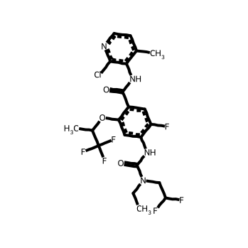 CCN(CC(F)F)C(=O)Nc1cc(OC(C)C(F)(F)F)c(C(=O)Nc2c(C)ccnc2Cl)cc1F